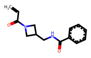 C=CC(=O)N1CC(CNC(=O)c2ccccc2)C1